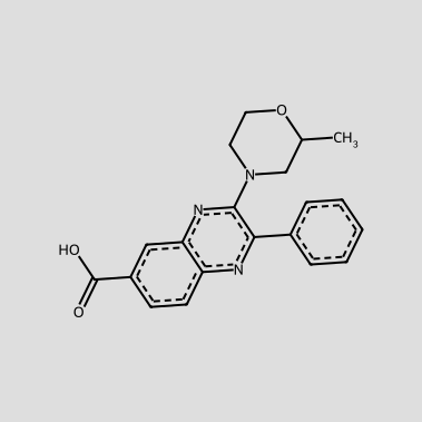 CC1CN(c2nc3cc(C(=O)O)ccc3nc2-c2ccccc2)CCO1